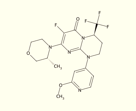 COc1cc(N2CC[C@H](C(F)(F)F)n3c2nc(N2CCOC[C@H]2C)c(F)c3=O)ccn1